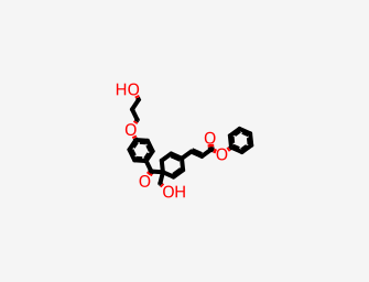 O=C(C=CC1=CCC(CO)(C(=O)c2ccc(OCCCO)cc2)C=C1)Oc1ccccc1